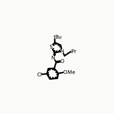 COc1ccc(Cl)cc1C(=O)N=c1sc(C(C)(C)C)cn1CC(C)C